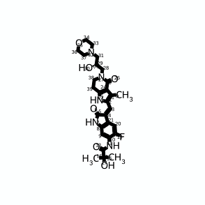 Cc1c(C=C2C(=O)Nc3cc(NC(=O)C(C)(C)O)c(F)cc32)[nH]c2c1C(=O)N(C[C@H](O)CN1CCOCC1)CC2